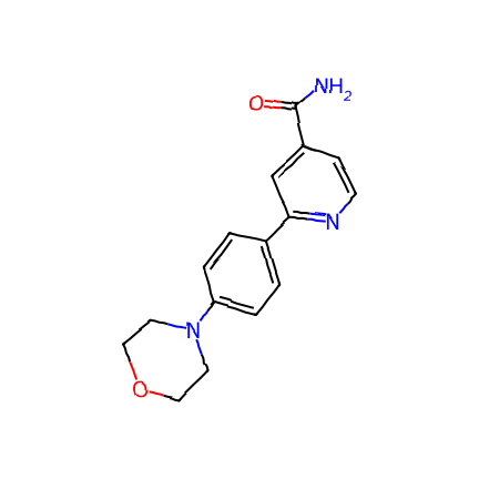 NC(=O)c1ccnc(-c2ccc(N3CCOCC3)cc2)c1